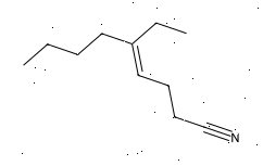 CCCCC(=CCCC#N)CC